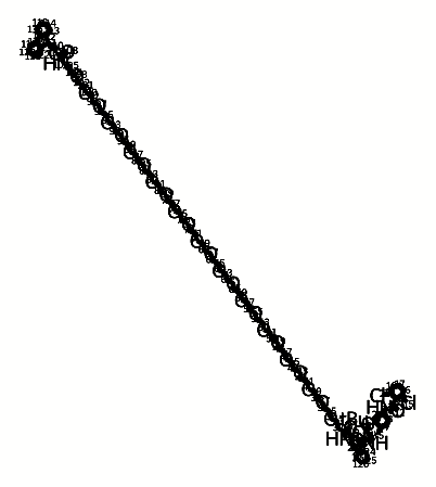 CC(C)(C)OC(=O)[C@H](Cc1ccc(NC(=O)c2c(Cl)cccc2Cl)cc1)NC(=O)C1(CCNC(=O)CCOCCOCCOCCOCCOCCOCCOCCOCCOCCOCCOCCOCCOCCOCCOCCOCCOCCOCCOCCOCCOCCOCCOCCOCCNC(=O)OCC2c3ccccc3-c3ccccc32)CCCC1